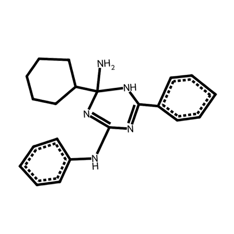 NC1(C2CCCCC2)N=C(Nc2ccccc2)N=C(c2ccccc2)N1